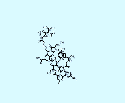 CCC(=O)[C@H](C)NCC(=O)[C@@H]1CCCN1N[C@@H](CC(N)=O)C(=O)N[C@@H](CS)C(=O)N[C@@H](CS)C(=O)C(=O)[C@H](Cc1ccc(O)cc1)NN[C@@H](CCC(=O)O)C(=O)C(=O)C(CSSCC(=O)[C@H](CS)NC(=O)[C@@H](NCl)[C@@H](C)O)N1CNC(CSS)C1=O